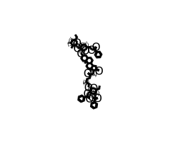 CCC1O[C@@H](OC2[C@H](OC3CCC4(C)C(CCC5C4CCC4(C)C5CC(=O)C4[C@H](C)C(=O)CC[C@H](C)CO[C@@H]4OC(CC)[C@H](C)[C@H](OC(=O)c5ccccc5)C4OC(=O)c4ccccc4)C3)OC(COC(=O)c3ccccc3)[C@@H](C)[C@@H]2C)C(C)[C@@H](C)[C@@H]1C